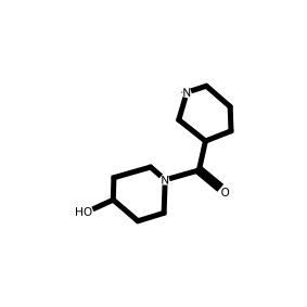 O=C(C1CCC[N]C1)N1CCC(O)CC1